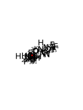 C[C@]1(c2cc(Nc3ncnc4cc(C(F)(F)F)cnc34)ccc2F)N=C(N)[C@@]2(CF)CC[C@@H]1S2(O)O